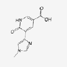 Cn1cnc(-c2cc(C(=O)O)c[nH]c2=O)c1